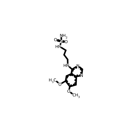 COc1cc2ncnc(NCCCNS(N)(=O)=O)c2cc1OC